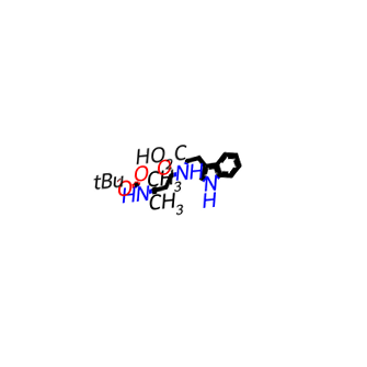 CC(C)(CC(=O)N[C@H](Cc1c[nH]c2ccccc12)C(=O)O)NC(=O)OC(C)(C)C